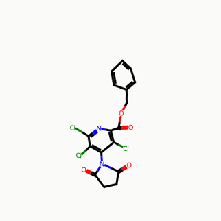 O=C(OCc1ccccc1)c1nc(Cl)c(Cl)c(N2C(=O)CCC2=O)c1Cl